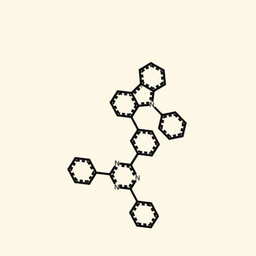 c1ccc(-c2nc(-c3ccccc3)nc(-c3cccc(-c4cccc5c6ccccc6n(-c6ccccc6)c45)c3)n2)cc1